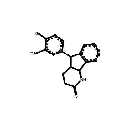 O=C1CCC2C(N1)c1ccccc1C2c1ccc(Cl)c([N+](=O)[O-])c1